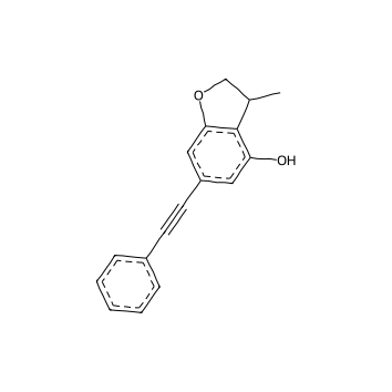 CC1COc2cc(C#Cc3ccccc3)cc(O)c21